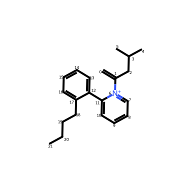 C=C(CC(C)C)[n+]1ccccc1-c1ccccc1CCCC